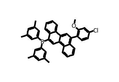 COc1cc(Cl)ccc1-c1cc2c3ccccc3c(B(c3cc(C)cc(C)c3)c3cc(C)cc(C)c3)cc2c2ccccc12